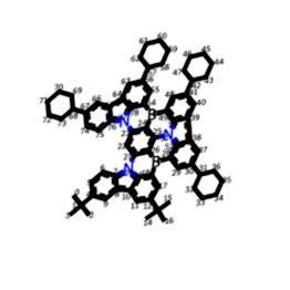 CC(C)(C)c1ccc2c(c1)c1cc(C(C)(C)C)cc3c1n2-c1cc2c4c5c1B3c1cc(C3CCCCC3)cc3c6cc(C7CCCCC7)cc(c6n-5c13)B4c1cc(C3CCCCC3)cc3c4cc(C5CCCCC5)ccc4n-2c13